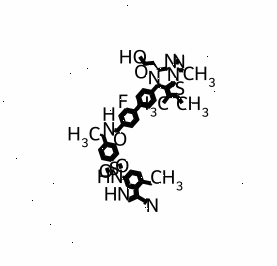 CCc1ccc(NS(=O)(=O)c2ccc([C@@H](C)NC(=O)c3ccc(-c4ccc(C5=N[C@@H](CC(=O)O)c6nnc(C)n6-c6sc(C)c(C)c65)cc4)c(F)c3)cc2)c2[nH]cc(C#N)c12